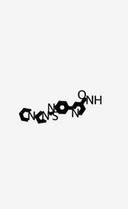 CNC(=O)c1ccnc(-c2ccc3nc(N4CCC(N5CCCCC5)C4)sc3c2)c1